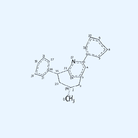 C[C@H]1Cc2cc(-c3ccccc3)nc(c2)C(c2ccccc2)C1